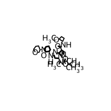 COC1CCC1NC(=O)c1cnn2c(N(C)C(=O)OC(C)(C)C)cc(Nc3cccn([C@@H]4CCCOC4)c3=O)nc12